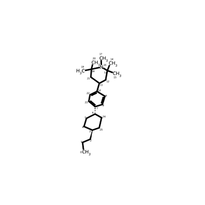 CCC[C@H]1CC[C@H](c2ccc(C3CC(C)(C)N(C)C(C)(C)C3)cc2)CC1